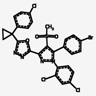 CS(=O)(=O)c1c(-c2nnc(C3(c4ccc(Cl)cc4)CC3)o2)nn(-c2ccc(Cl)cc2Cl)c1-c1ccc(Br)cc1